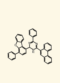 c1ccc(C2=NC(c3ccc(-c4ccccc4)c4oc5ccccc5c34)NC(c3cc4ccccc4c4ccccc34)=N2)cc1